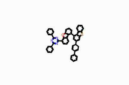 C1=CC(c2cc(-c3cccc4oc5c(-c6nc(-c7ccccc7)nc(-c7ccccc7)n6)cccc5c34)c3c(c2)sc2ccccc23)CC=C1c1ccccc1